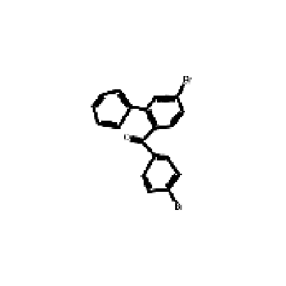 O=C(c1ccc(Br)cc1)c1ccc(Br)cc1-c1ccccc1